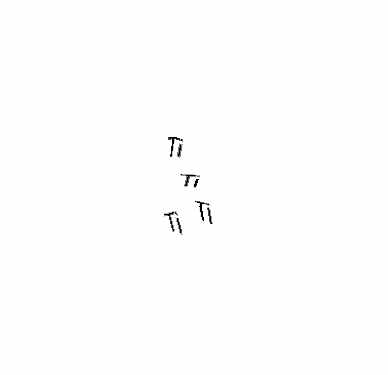 [Ti].[Ti].[Ti].[Ti]